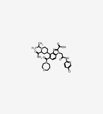 CC(C)N1CCC(c2c(C(=O)N3CCCOCC3)ccc3c2nc(C(=O)O)n3CC(=O)Nc2ccc(Cl)cn2)CC1C(N)=O